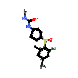 CCNC(=O)Nc1ccc([S+]([O-])c2c(C)cc([N+](=O)[O-])cc2Cl)cc1